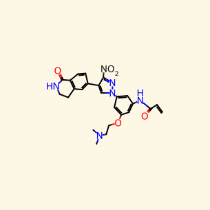 C=CC(=O)Nc1cc(OCCN(C)C)cc(-n2cc(-c3ccc4c(c3)CCNC4=O)c([N+](=O)[O-])n2)c1